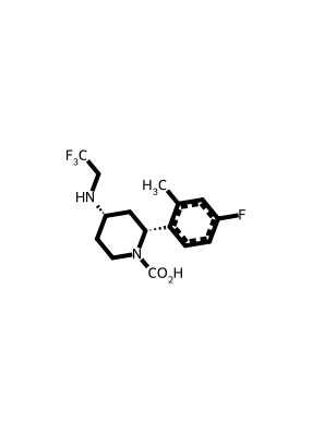 Cc1cc(F)ccc1[C@H]1C[C@@H](NCC(F)(F)F)CCN1C(=O)O